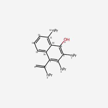 [C]=C(CCC)c1c(CCC)c(CCC)c(O)c2c(CCC)cccc12